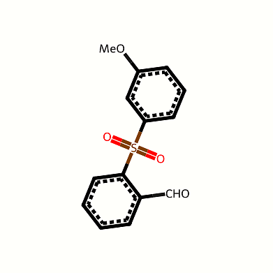 COc1cccc(S(=O)(=O)c2ccccc2C=O)c1